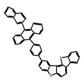 c1ccc2cc(-c3c4ccccc4c(-c4ccc(-c5ccc6sc7ccc8c9ccccc9sc8c7c6c5)cc4)c4ccccc34)ccc2c1